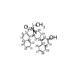 CCN(C(=O)c1ccc2ccccc2c1)N1CCCCC1.Oc1ccc2ccccc2c1